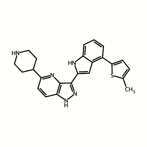 Cc1ccc(-c2cccc3[nH]c(-c4n[nH]c5ccc(C6CCNCC6)nc45)cc23)s1